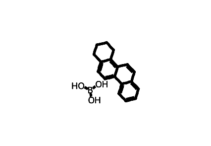 OB(O)O.c1ccc2c(c1)ccc1c3c(ccc12)CCCC3